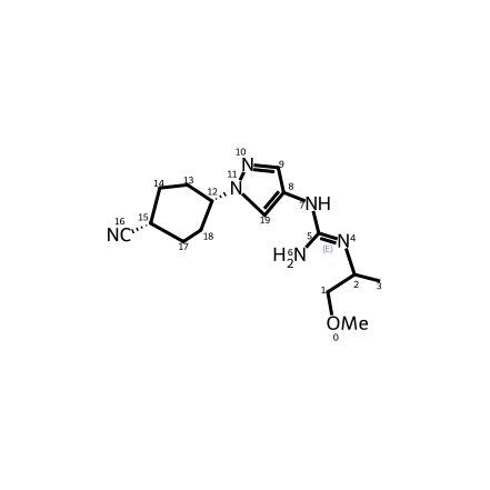 COCC(C)/N=C(\N)Nc1cnn([C@H]2CC[C@@H](C#N)CC2)c1